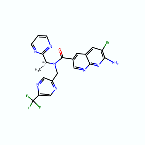 C[C@H](c1ncccn1)N(Cc1cnc(C(F)(F)F)cn1)C(=O)c1cnc2nc(N)c(Br)cc2c1